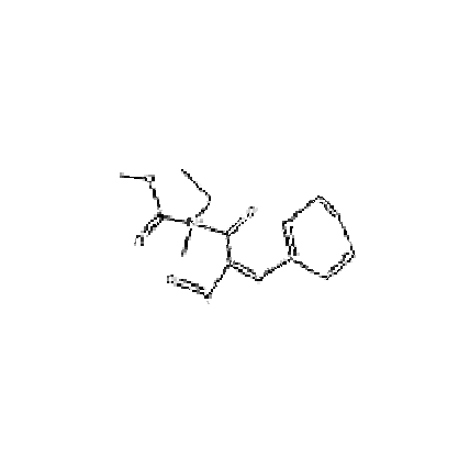 CC[N+](C)(C(=O)OC)C(=O)C([C]=O)=Cc1ccccc1